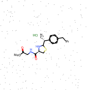 COC(=O)CNC(=O)[C@@H]1CSC([C@H](C)c2ccc(CC(C)C)cc2)N1.Cl